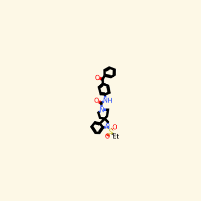 CCS(=O)(=O)N1CC2(CCN(C(=O)Nc3ccc(C(=O)c4ccccc4)cc3)CC2)c2ccccc21